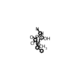 C[C@@H]1C(c2ccccc2)=CC=CC1(COc1cc(OCc2cncc(C#N)c2)c(C=O)cc1Cl)OCCCN1CCCC(O)C1